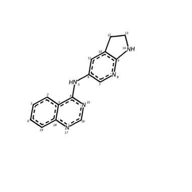 c1ccc2c(Nc3cnc4c(c3)CCN4)ncnc2c1